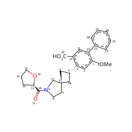 COc1cc([C@H]2C[C@]3(CCN(C(=O)[C@H]4CCCO4)C3)C2)c(C(=O)O)cc1-c1ccccc1